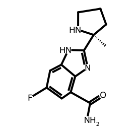 C[C@@]1(c2nc3c(C(N)=O)cc(F)cc3[nH]2)CCCN1